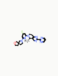 CC1c2cnc(-c3ncccn3)nc2CCN1c1cc(F)cc(N2CCC3(CCOC3)C2)n1